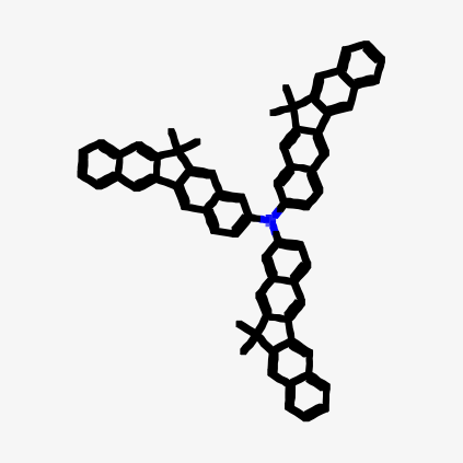 CC1(C)c2cc3ccccc3cc2-c2cc3ccc(N(c4ccc5cc6c(cc5c4)C(C)(C)c4cc5ccccc5cc4-6)c4ccc5cc6c(cc5c4)C(C)(C)c4cc5ccccc5cc4-6)cc3cc21